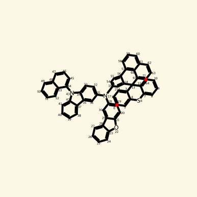 c1ccc2c(c1)Sc1ccccc1C21c2cc(N(c3ccc4oc5ccccc5c4c3)c3ccc4c(c3)c3ccccc3n4-c3cccc4ccccc34)ccc2-c2cccc3cccc1c23